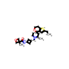 CCc1cc2c(s1)CCO[C@@]21CCN(C[C@H]2C[C@@H](NC(=O)C3(C)COC3)C2)[C@@H](C)C1